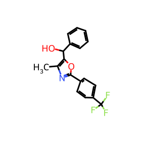 Cc1nc(-c2ccc(C(F)(F)F)cc2)oc1C(O)c1ccccc1